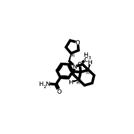 COC1(c2cccc(C(N)=O)c2)[C@@H]2CCC[C@H]1CN(C[C@H]1CCOC1)C2